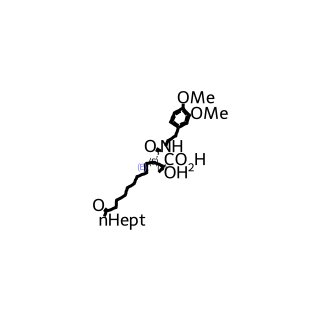 CCCCCCCC(=O)CCCCCC/C=C/[C@H](C(=O)NCCc1ccc(OC)c(OC)c1)[C@](C)(O)C(=O)O